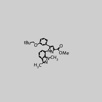 COC(=O)c1cc(-c2cccc(OCC(C)(C)C)c2)n(-c2cccc3c(C)nn(C)c23)n1